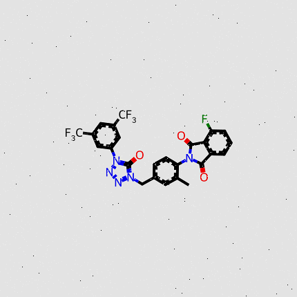 Cc1cc(Cn2nnn(-c3cc(C(F)(F)F)cc(C(F)(F)F)c3)c2=O)ccc1N1C(=O)c2cccc(F)c2C1=O